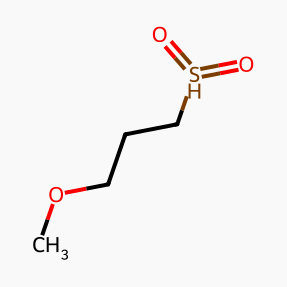 COCCC[SH](=O)=O